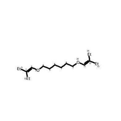 CCC(=COCCCCCCOC=C(CC)CC)CC